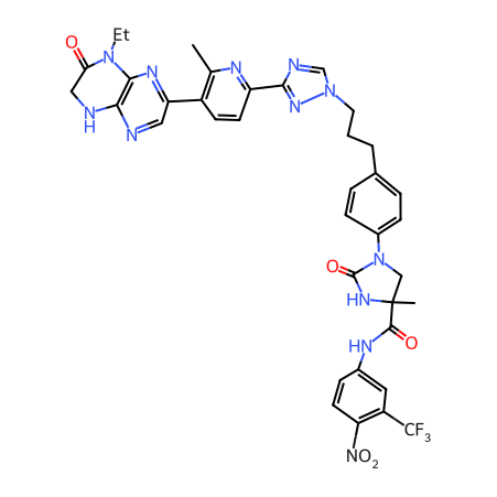 CCN1C(=O)CNc2ncc(-c3ccc(-c4ncn(CCCc5ccc(N6CC(C)(C(=O)Nc7ccc([N+](=O)[O-])c(C(F)(F)F)c7)NC6=O)cc5)n4)nc3C)nc21